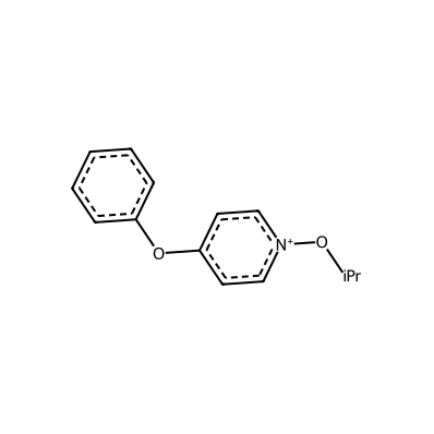 CC(C)O[n+]1ccc(Oc2ccccc2)cc1